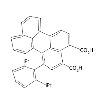 CC(C)c1cccc(C(C)C)c1-c1cc(C(=O)O)c2c(C(=O)O)ccc3c4cccc5cccc(c1c23)c54